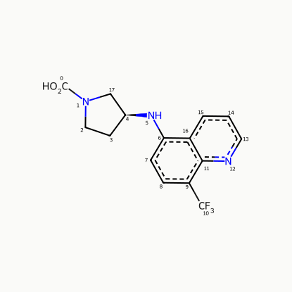 O=C(O)N1CC[C@H](Nc2ccc(C(F)(F)F)c3ncccc23)C1